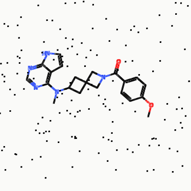 COc1ccc(C(=O)N2CC3(CC(N(C)c4ncnc5[nH]ccc45)C3)C2)cc1